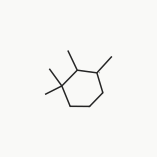 C[C]1CCCC(C)(C)C1C